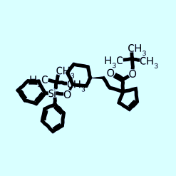 CC(C)(C)OC(=O)C1(CC[C@@H]2CCC[C@H](O[Si](c3ccccc3)(c3ccccc3)C(C)(C)C)C2)CC=CC1